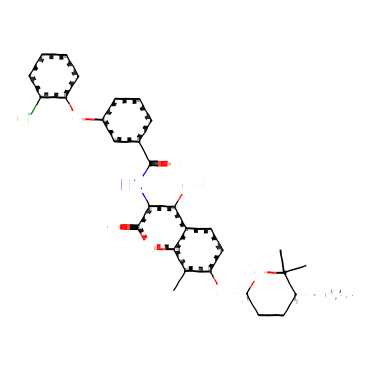 CO[C@@H]1CC[C@H](Oc2ccc3c(O)c(NC(=O)c4cccc(Oc5ccccc5Cl)c4)c(=O)oc3c2C)OC1(C)C